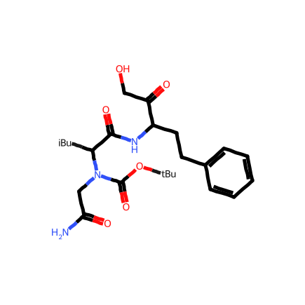 CCC(C)C(C(=O)NC(CCc1ccccc1)C(=O)CO)N(CC(N)=O)C(=O)OC(C)(C)C